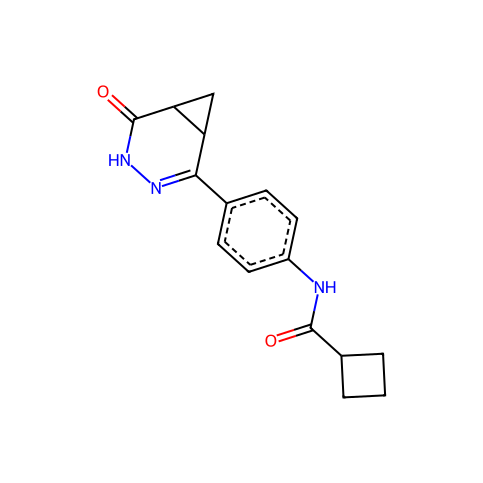 O=C(Nc1ccc(C2=NNC(=O)C3CC23)cc1)C1CCC1